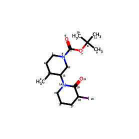 CC1CCN(C(=O)OC(C)(C)C)CC1N1CCCC(I)C1=O